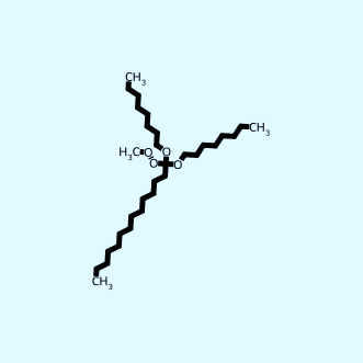 CCCCCCCCCCCCCC(OCCCCCCCC)(OCCCCCCCC)OOC